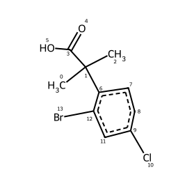 CC(C)(C(=O)O)c1ccc(Cl)cc1Br